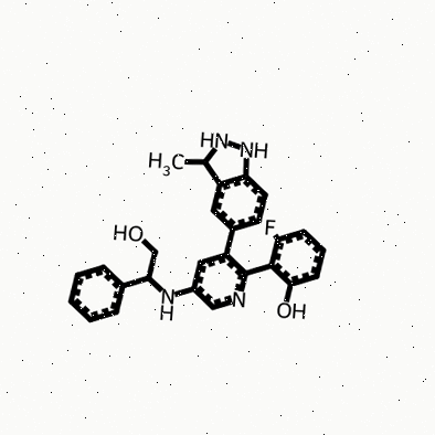 CC1NNc2ccc(-c3cc(NC(CO)c4ccccc4)cnc3-c3c(O)cccc3F)cc21